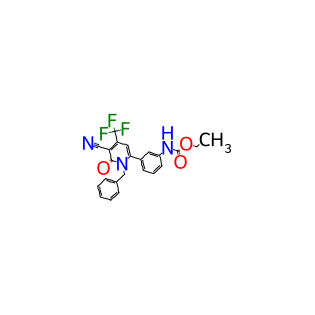 CCOC(=O)Nc1cccc(-c2cc(C(F)(F)F)c(C#N)c(=O)n2Cc2ccccc2)c1